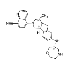 C[C@@H]1CN(c2ccc(C#N)c3ncccc23)C[C@@H]2c3ccc(N[C@@H]4CNCCOC4)cc3CN12